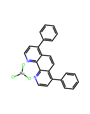 [Cl][Ru]([Cl])[Cl].c1ccc(-c2ccnc3c2ccc2c(-c4ccccc4)ccnc23)cc1